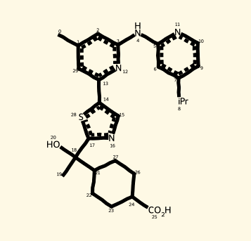 Cc1cc(Nc2cc(C(C)C)ccn2)nc(-c2cnc(C(C)(O)C3CCC(C(=O)O)CC3)s2)c1